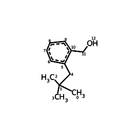 CC(C)(C)Cc1ccccc1CO